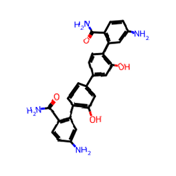 NC(=O)c1ccc(N)cc1-c1ccc(-c2ccc(-c3cc(N)ccc3C(N)=O)c(O)c2)cc1O